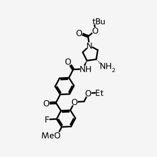 CCOCOc1ccc(OC)c(F)c1C(=O)c1ccc(C(=O)N[C@H]2CN(C(=O)OC(C)(C)C)C[C@@H]2N)cc1